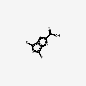 O=C(O)c1cc2c(F)sc(F)c2s1